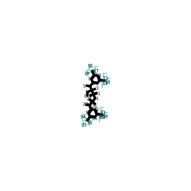 CCC(C)(C(C)c1cc(C(F)(F)F)cc(C(F)(F)F)c1)C(C)(C)CC(C)(C)C(C)c1cc(C(F)(F)F)cc(C(F)(F)F)c1